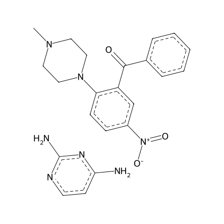 CN1CCN(c2ccc([N+](=O)[O-])cc2C(=O)c2ccccc2)CC1.Nc1ccnc(N)n1